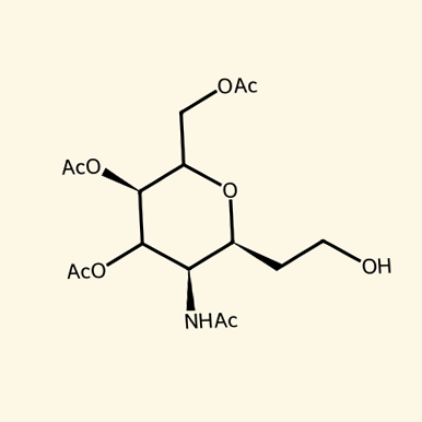 CC(=O)N[C@H]1C(OC(C)=O)[C@@H](OC(C)=O)C(COC(C)=O)O[C@H]1CCO